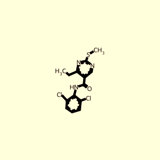 CCc1nc(SC)ncc1C(=O)Nc1c(Cl)cccc1Cl